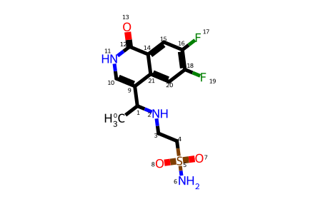 CC(NCCS(N)(=O)=O)c1c[nH]c(=O)c2cc(F)c(F)cc12